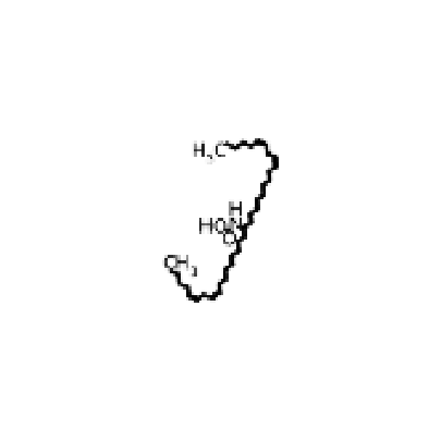 CCCCC/C=C\C/C=C\CCCCCCCCC(CCCCCCCC/C=C\C/C=C\CCCCC)NC(=O)O